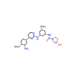 COc1cc(NC(=O)N2CC[C@H](O)C2)cc(Nc2nccc(-c3ccc(OC)c(N)c3)n2)c1